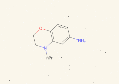 CCCN1CCOc2ccc(N)cc21